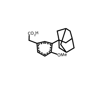 COc1ccc(CC(=O)O)cc1C12CC3CC(CC(C3)C1)C2